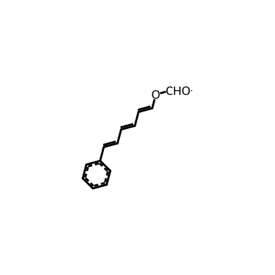 O=[C]O/C=C/C=C/C=C/c1ccccc1